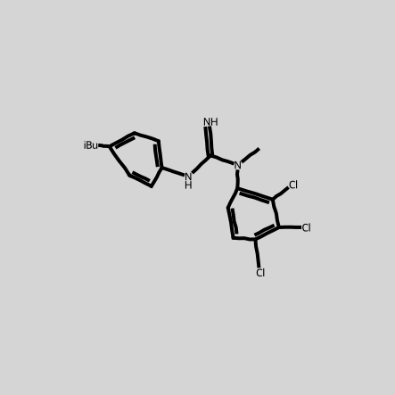 CCC(C)c1ccc(NC(=N)N(C)c2ccc(Cl)c(Cl)c2Cl)cc1